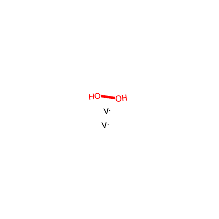 OO.[V].[V]